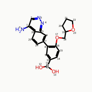 Nc1cnnc2cc(-c3cc(B(O)O)ccc3OCC3CCCO3)ccc12